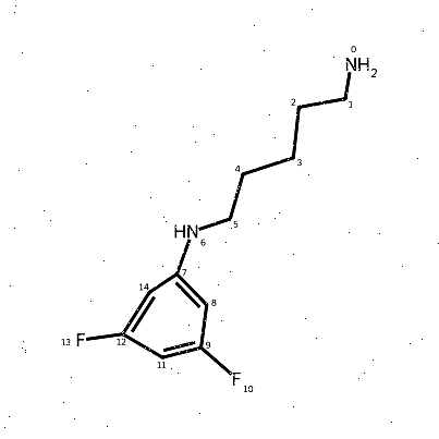 NCCCCCNc1cc(F)cc(F)c1